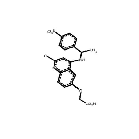 CC(Nc1cc(Cl)nc2ccc(OCC(=O)O)cc12)c1ccc([N+](=O)[O-])cc1